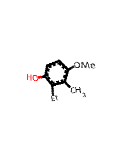 CCc1c(O)ccc(OC)c1C